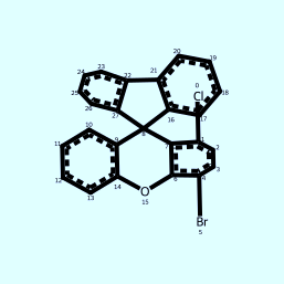 Clc1ccc(Br)c2c1C1(c3ccccc3O2)c2ccccc2-c2ccccc21